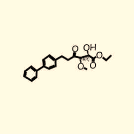 CCOC(=O)[C@H](O)[C@@H](OC)C(=O)CCc1ccc(-c2ccccc2)cc1